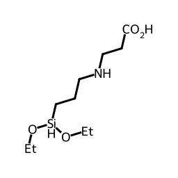 CCO[SiH](CCCNCCC(=O)O)OCC